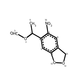 CC(O[C]=O)c1cc2c(cc1[N+](=O)[O-])COO2